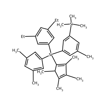 CCc1cc(CC)cc([Si](C2=C(C)C(C)=C(C)C2C)(c2cc(C)cc(C)c2)c2cc(C)cc([Si](C)(C)C)c2)c1